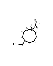 CCN1CCCC[Si](C)(OC)OCC1